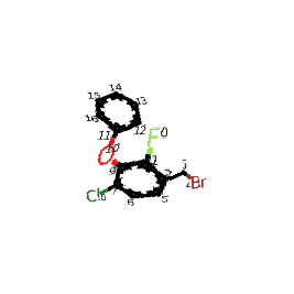 Fc1c(CBr)ccc(Cl)c1Oc1ccccc1